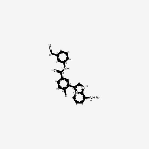 CC(=O)Nc1cccn2c(-c3cc(C(=O)Nc4cccc(CF)c4)ccc3C)cnc12